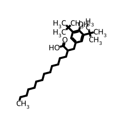 CCCCCCCCCCCCCC(Cc1cc(C(C)(C)C)c(O)c(C(C)(C)C)c1)C(=O)O